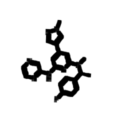 C[C@@H](c1ccc(F)cc1)N(C)c1cc(-c2cnn(C)c2)cc(Nc2cnccn2)n1